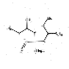 CCCCCCCC(CC(C)CC(C)(C)C)(CC(C)CC(C)(C)C)P=O